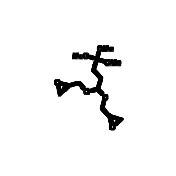 CO[Si](CCC(OCC1CO1)OCC1CO1)(OC)OC